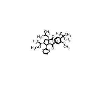 COc1cc(C(=O)N2[C@@H](c3nccs3)[C@H](C(C)OC)C[C@@]2(CC(C)C)C(=O)O)ccc1C(C)(C)C